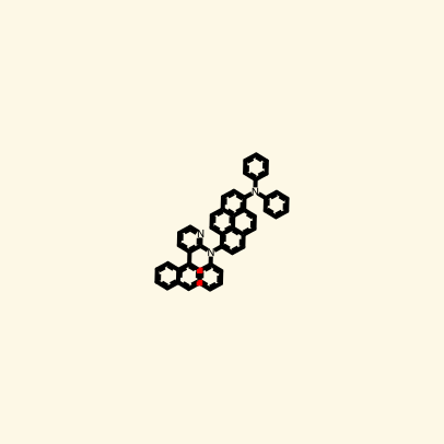 c1ccc(N(c2ccccc2)c2ccc3ccc4c(N(c5ccccc5)c5ncccc5-c5cccc6ccccc56)ccc5ccc2c3c54)cc1